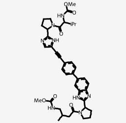 COC(=O)NCC(C)CC(=O)N1CCCC1c1nc2ccc(-c3ccc(C#Cc4cnc(C5CCCN5C(=O)C(NC(=O)OC)C(C)C)[nH]4)cc3)cc2[nH]1